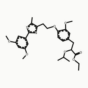 CCOC(=O)C(Cc1ccc(OCCc2nc(-c3cc(OC)cc(OC)c3)sc2C)c(OC)c1)OC(C)C